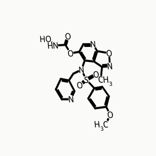 COc1ccc(S(=O)(=O)N(Cc2cccnc2)c2c(OC(=O)NO)cnc3onc(C)c23)cc1